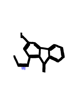 C=C1c2ccccc2-c2cc(I)cc(/C=C\C)c21